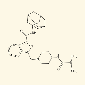 CN(C)C(=O)NC1CCN(Cc2nc(C(=O)NC34CC5CC(CC(C5)C3)C4)n3ccccc23)CC1